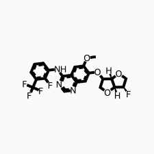 COc1cc2c(Nc3cccc(C(F)(F)F)c3F)ncnc2cc1OC1CO[C@H]2[C@H](F)CO[C@@H]12